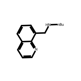 CCCCNCc1cccc2cccnc12